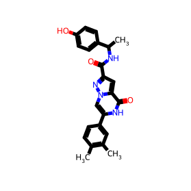 Cc1ccc(-c2cn3nc(C(=O)NC(C)c4ccc(O)cc4)cc3c(=O)[nH]2)cc1C